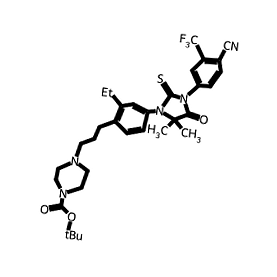 CCc1cc(N2C(=S)N(c3ccc(C#N)c(C(F)(F)F)c3)C(=O)C2(C)C)ccc1CCCN1CCN(C(=O)OC(C)(C)C)CC1